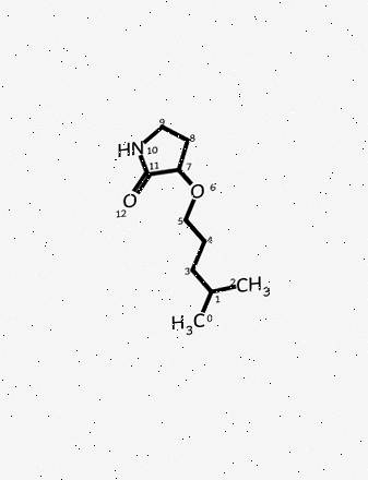 CC(C)CCCOC1CCNC1=O